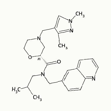 Cc1nn(C)cc1CN1CCO[C@@H](C(=O)N(Cc2ccc3ncccc3c2)CC(C)C)C1